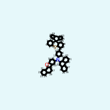 c1ccc2c(c1)Sc1c(-c3ccc(N(c4ccc5oc6c7ccccc7ccc6c5c4)c4cc5ccccc5c5ccccc45)cc3)cccc1C21c2ccccc2-c2ccccc21